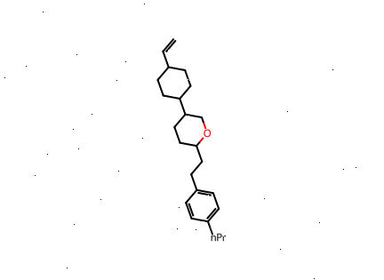 C=CC1CCC(C2CCC(CCc3ccc(CCC)cc3)OC2)CC1